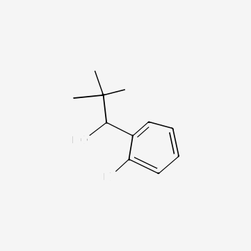 CC(C)(C)C(O)c1ccccc1O